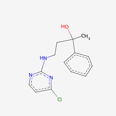 CC(O)(CCNc1nccc(Cl)n1)c1ccccc1